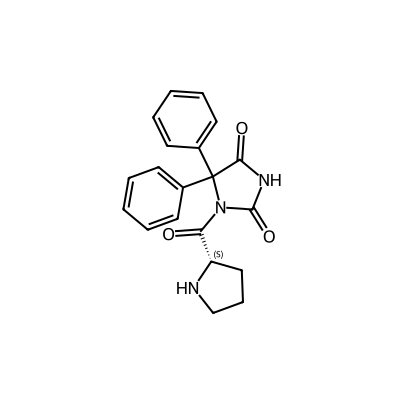 O=C1NC(=O)C(c2ccccc2)(c2ccccc2)N1C(=O)[C@@H]1CCCN1